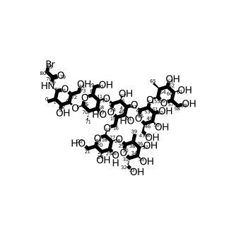 CC1C(O)[C@H](O[C@@H]2OC(CO)[C@@H](O[C@@H]3OC(CO[C@H]4OC(CO)[C@@H](O)C(O)[C@H]4OC4O[C@@H](CO)[C@@H](O)[C@@H](O)C4C)[C@@H](O)C(O[C@H]4O[C@H](CO)[C@@H](O)C(O)C4O[C@@H]4OC(CO)[C@@H](O)C(O)[C@@H]4C)[C@H]3O)C(O)[C@@H]2C)C(CO)O[C@H]1NC(=O)CBr